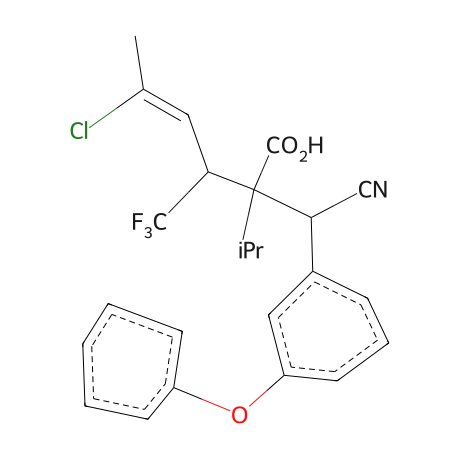 CC(Cl)=CC(C(F)(F)F)C(C(=O)O)(C(C)C)C(C#N)c1cccc(Oc2ccccc2)c1